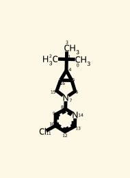 CC(C)(C)C1C2CN(c3cc(Cl)ccn3)CC21